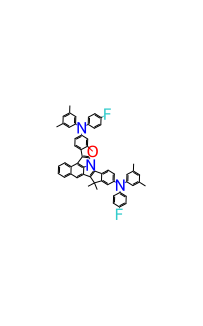 Cc1cc(C)cc(N(c2ccc(F)cc2)c2ccc3c(c2)C(C)(C)c2c-3n3c4oc5cc(N(c6ccc(F)cc6)c6cc(C)cc(C)c6)ccc5c4c4c5ccccc5cc2c43)c1